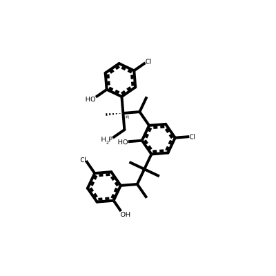 CC(c1cc(Cl)ccc1O)C(C)(C)c1cc(Cl)cc(C(C)[C@@](C)(CP)c2cc(Cl)ccc2O)c1O